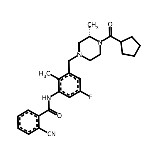 Cc1c(CN2CCN(C(=O)C3CCCC3)[C@@H](C)C2)cc(F)cc1NC(=O)c1ccccc1C#N